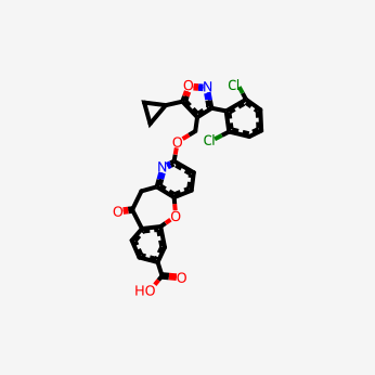 O=C(O)c1ccc2c(c1)Oc1ccc(OCc3c(-c4c(Cl)cccc4Cl)noc3C3CC3)nc1CC2=O